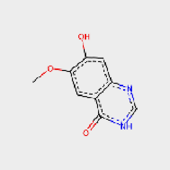 COc1cc2c(=O)[nH]cnc2cc1O